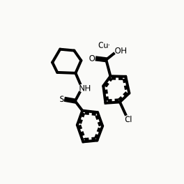 O=C(O)c1ccc(Cl)cc1.S=C(NC1CCCCC1)c1ccccc1.[Cu]